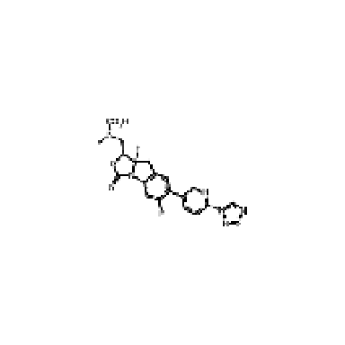 CN(C[C@@H]1OC(=O)N2c3cc(F)c(-c4ccc(-n5cnnn5)nc4)cc3C[C@@H]12)C(=O)O